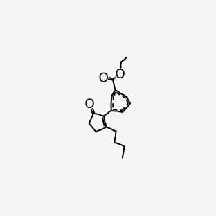 CCCCC1=C(c2cccc(C(=O)OCC)c2)C(=O)CC1